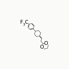 FC(F)(F)c1ccc(C2CCC(=CCC3OCCCO3)CC2)cc1